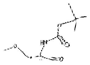 COC[C@@H](C=O)NC(=O)OC(C)(C)C